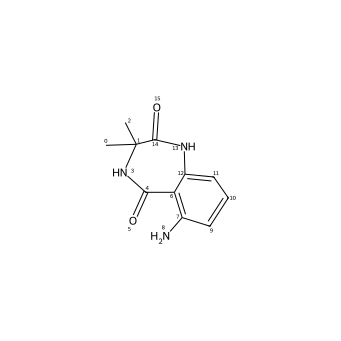 CC1(C)NC(=O)c2c(N)cccc2NC1=O